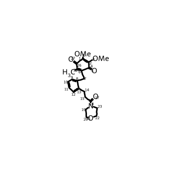 COC1=C(OC)C(=O)C(Cc2ccccc2CCC(=O)N2CCOCC2)=C(C)C1=O